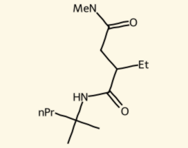 CCCC(C)(C)NC(=O)C(CC)CC(=O)NC